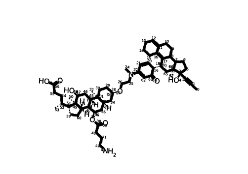 CC#C[C@@]1(O)CCC2C3CCC4=CCCCC4=C3[C@@H](C3C=CC(N(C)CCO[C@H]4CC[C@@]5(C)[C@@H](C4)C[C@@H](OC(=O)CCCN)[C@@H]4[C@@H]5C[C@H](O)[C@]5(C)[C@@H]([C@H](C)CCC(=O)O)CC[C@@H]45)=CC3=O)C[C@@]21C